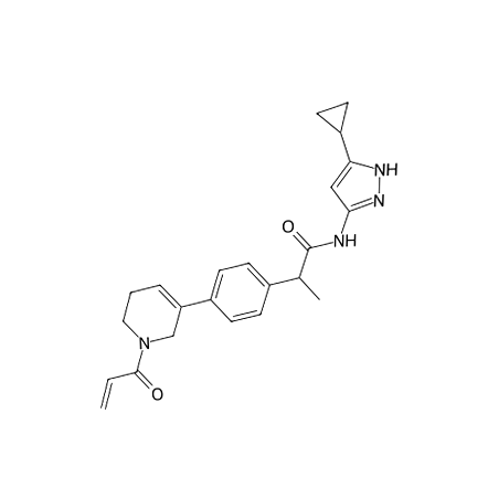 C=CC(=O)N1CCC=C(c2ccc(C(C)C(=O)Nc3cc(C4CC4)[nH]n3)cc2)C1